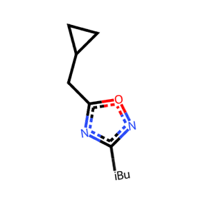 CCC(C)c1noc(CC2CC2)n1